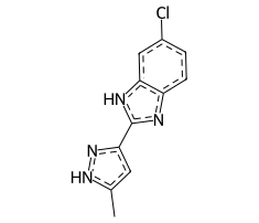 Cc1cc(-c2nc3ccc(Cl)cc3[nH]2)n[nH]1